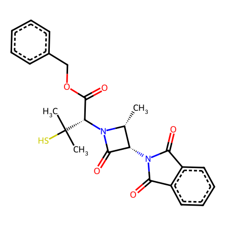 C[C@@H]1[C@H](N2C(=O)c3ccccc3C2=O)C(=O)N1[C@@H](C(=O)OCc1ccccc1)C(C)(C)S